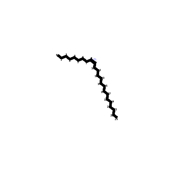 CCCCCCCC/C=C\CCCCCCCCCCCCCC